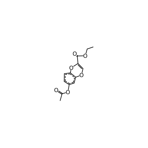 CCOC(=O)C1=COc2cc(OC(C)=O)ccc2O1